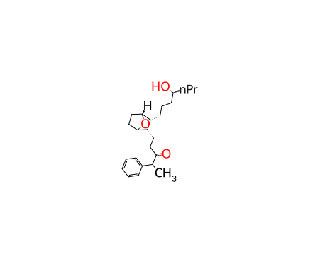 CCC[C@H](O)CCC[C@@H]1[C@H](CCC(=O)C(C)c2ccccc2)C2CC[C@H]1O2